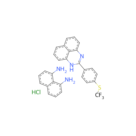 Cl.FC(F)(F)Sc1ccc(C2=Nc3cccc4cccc(c34)N2)cc1.Nc1cccc2cccc(N)c12